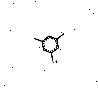 Cc1cc(C)c[c]([BiH2])c1